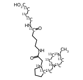 C[15N]1[13CH2][13CH2][15N]([13CH2][13CH]2CCC[15N]2CC(=O)NCCC[13C](=O)N[13CH2][13CH2][13CH2][13C](=O)O)[13CH2][13CH2]1